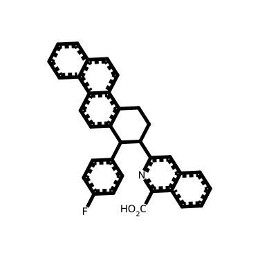 O=C(O)c1nc(C2CCc3c(ccc4c3ccc3ccccc34)C2c2ccc(F)cc2)cc2ccccc12